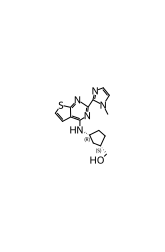 Cn1ccnc1-c1nc(N[C@@H]2CC[C@H](CO)C2)c2ccsc2n1